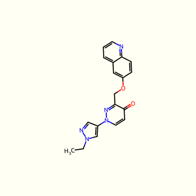 CCn1cc(-n2ccc(=O)c(COc3ccc4ncccc4c3)n2)cn1